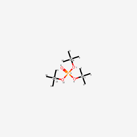 C[Si](C)(C)OP(=O)(O[Si](C)(C)C)[O][Sn]([CH3])([CH3])[CH3]